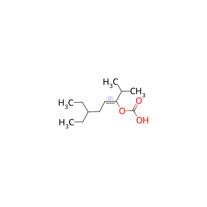 CCC(CC)C/C=C(\OC(=O)O)C(C)C